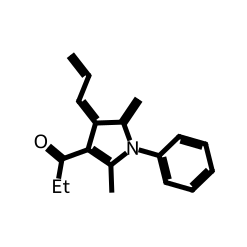 C=C/C=c1/c(C(=O)CC)c(C)n(-c2ccccc2)c1=C